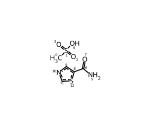 CS(=O)(=O)O.NC(=O)c1cncs1